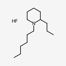 CCCCCCN1CCCCC1CCC.F